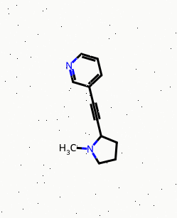 CN1CCCC1C#Cc1cccnc1